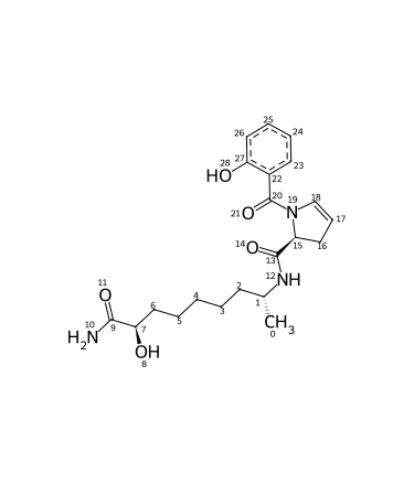 C[C@H](CCCCC[C@@H](O)C(N)=O)NC(=O)[C@@H]1CC=CN1C(=O)c1ccccc1O